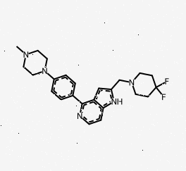 CN1CCN(c2ccc(-c3nccc4[nH]c(CN5CCC(F)(F)CC5)cc34)cc2)CC1